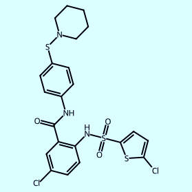 O=C(Nc1ccc(SN2CCCCC2)cc1)c1cc(Cl)ccc1NS(=O)(=O)c1ccc(Cl)s1